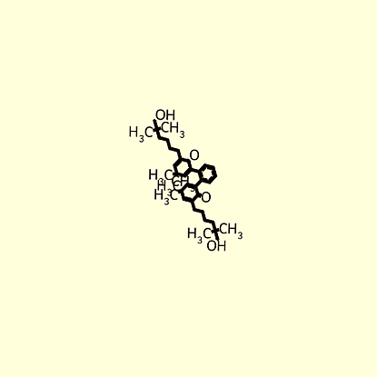 CC1(C)C=C(CCCCC(C)(C)CO)C(=O)C(c2ccccc2C2=CC(C)(C)C=C(CCCCC(C)(C)CO)C2=O)=C1